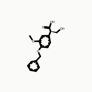 COc1cc([C@H](CO)C(=O)O)ccc1OCc1ccccc1